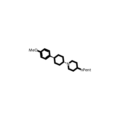 CCCCCC1CCN([C@H]2CC[C@H](c3ccc(OC)cc3)CC2)CC1